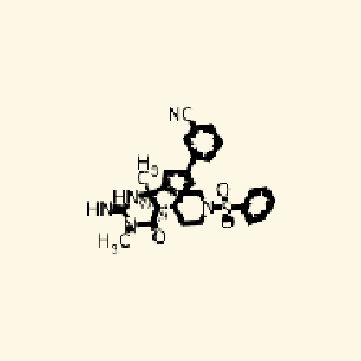 CN1C(=N)N[C@](C)(c2cc(-c3cccc(C#N)c3)cs2)[C@H](C2CCN(S(=O)(=O)c3ccccc3)CC2)C1=O